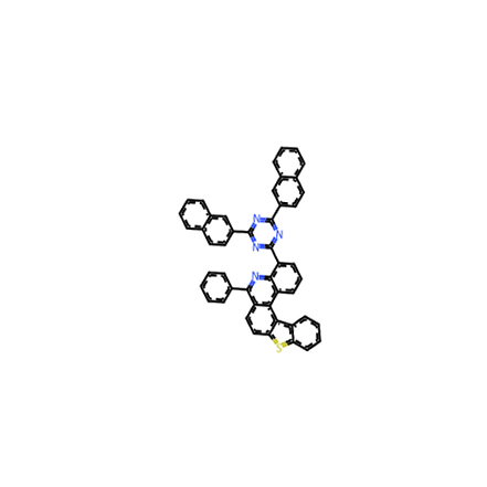 c1ccc(-c2nc3c(-c4nc(-c5ccc6ccccc6c5)nc(-c5ccc6ccccc6c5)n4)cccc3c3c2ccc2sc4ccccc4c23)cc1